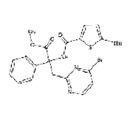 CC(C)(C)OC(=O)C(Cc1nccc(Br)n1)(NC(=O)c1ccc(C(C)(C)C)s1)c1ccccc1